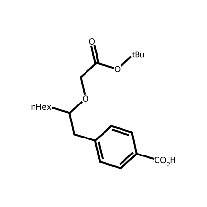 CCCCCCC(Cc1ccc(C(=O)O)cc1)OCC(=O)OC(C)(C)C